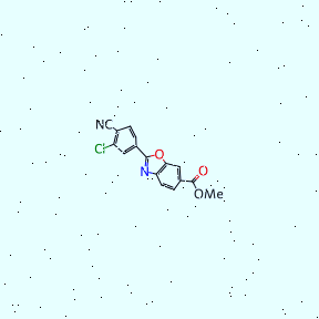 COC(=O)c1ccc2nc(-c3ccc(C#N)c(Cl)c3)oc2c1